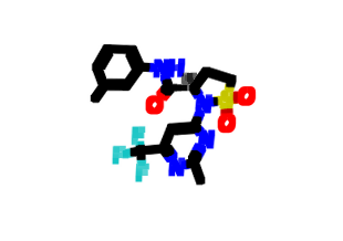 Cc1cccc(NC(=O)[C@@H]2CCS(=O)(=O)N2c2cc(C(F)(F)F)nc(C)n2)c1